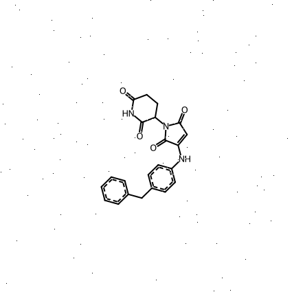 O=C1CCC(N2C(=O)C=C(Nc3ccc(Cc4ccccc4)cc3)C2=O)C(=O)N1